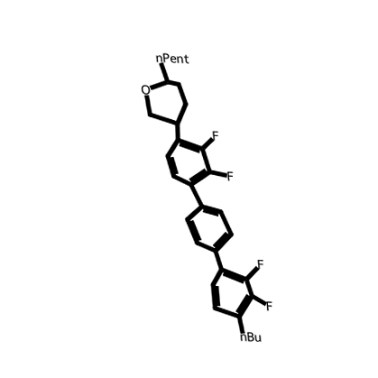 CCCCCC1CCC(c2ccc(-c3ccc(-c4ccc(CCCC)c(F)c4F)cc3)c(F)c2F)CO1